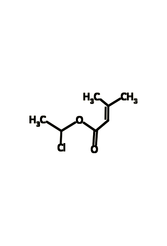 CC(C)=CC(=O)OC(C)Cl